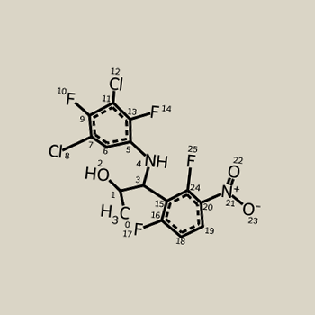 CC(O)C(Nc1cc(Cl)c(F)c(Cl)c1F)c1c(F)ccc([N+](=O)[O-])c1F